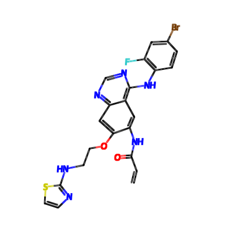 C=CC(=O)Nc1cc2c(Nc3ccc(Br)cc3F)ncnc2cc1OCCNc1nccs1